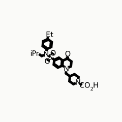 CCc1ccc(N(CC(C)C)S(=O)(=O)c2ccc3c(c2)C(=O)CCN3CC2CCN(C(=O)O)CC2)cc1